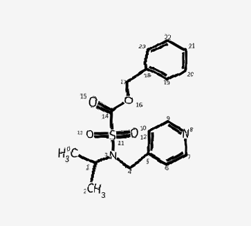 CC(C)N(Cc1ccncc1)S(=O)(=O)C(=O)OCc1ccccc1